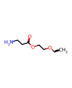 C=COCCOC(=O)CCN